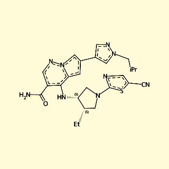 CC[C@H]1CN(c2ncc(C#N)s2)C[C@H]1Nc1c(C(N)=O)cnn2cc(-c3cnn(CC(C)C)c3)cc12